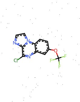 FC(F)(F)Oc1ccc2c(c1)nc(Cl)c1nccn12